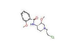 COc1ccccc1C(=O)NC1CCN(CCCl)CC1OC